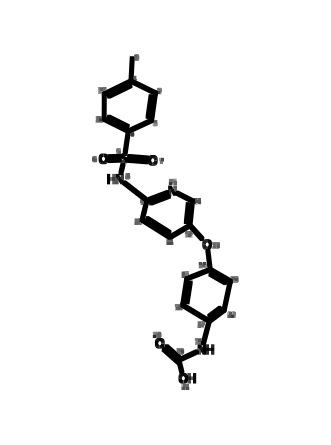 Cc1ccc(S(=O)(=O)Nc2ccc(Oc3ccc(NC(=O)O)cc3)cn2)cc1